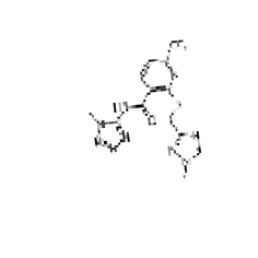 Cn1cnc(COc2nc(C(F)(F)F)ccc2C(=O)Nc2nnnn2C)n1